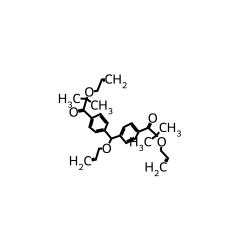 C=CCOC(c1ccc(C(=O)C(C)(C)OCC=C)cc1)c1ccc(C(=O)C(C)(C)OCC=C)cc1